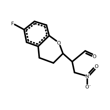 O=CC(C[N+](=O)[O-])C1CCc2cc(F)ccc2O1